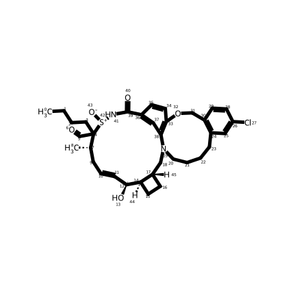 CCCCC1(C=O)[C@@H](C)C/C=C/[C@H](O)[C@@H]2CC[C@H]2CN2CCCCc3cc(Cl)ccc3COc3ccc(cc32)C(=O)N[S+]1[O-]